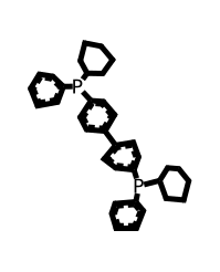 c1ccc(P(c2ccc(-c3ccc(P(c4ccccc4)C4CCCCC4)cc3)cc2)C2CCCCC2)cc1